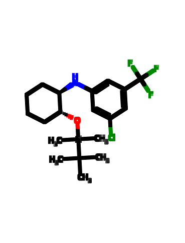 CC(C)(C)[Si](C)(C)O[C@@H]1CCCC[C@H]1Nc1cc(Cl)cc(C(F)(F)F)c1